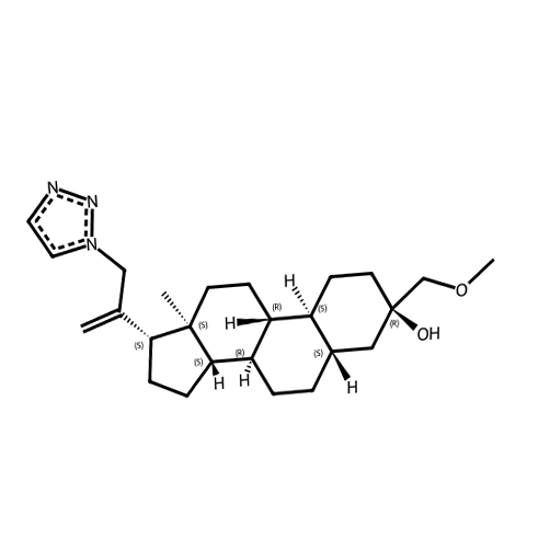 C=C(Cn1ccnn1)[C@H]1CC[C@H]2[C@@H]3CC[C@H]4C[C@@](O)(COC)CC[C@@H]4[C@H]3CC[C@]12C